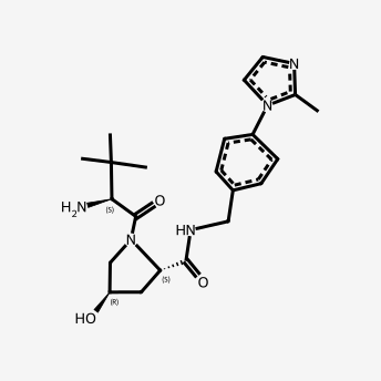 Cc1nccn1-c1ccc(CNC(=O)[C@@H]2C[C@@H](O)CN2C(=O)[C@@H](N)C(C)(C)C)cc1